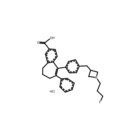 Cl.O=C(O)c1ccc2c(c1)CCCC(c1ccccc1)=C2c1ccc(CC2CN(CCCF)C2)cc1